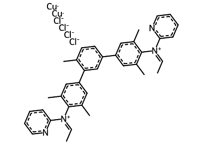 CC=[N+](c1ccccn1)c1c(C)cc(-c2ccc(C)c(-c3cc(C)c([N+](=CC)c4ccccn4)c(C)c3)c2)cc1C.[Cl-].[Cl-].[Cl-].[Cl-].[Cu].[Cu]